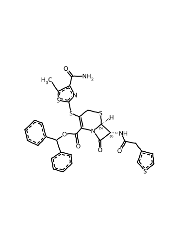 Cc1sc(SC2=C(C(=O)OC(c3ccccc3)c3ccccc3)N3C(=O)[C@@H](NC(=O)Cc4ccsc4)[C@@H]3SC2)nc1C(N)=O